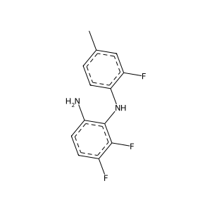 Cc1ccc(Nc2c(N)ccc(F)c2F)c(F)c1